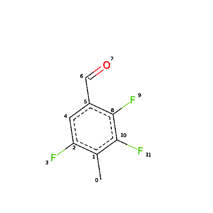 Cc1c(F)cc([C]=O)c(F)c1F